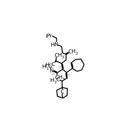 C=C(CCNCC(C)C)C/C(C(=C)C)=C(C(=C/C(C)C12CCC(CC1)CC2)\C1=CCCCCC1)/C(C)=N\C